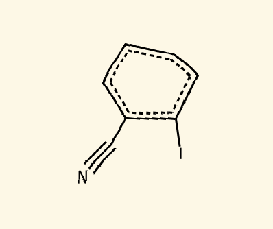 N#Cc1ccccc1I